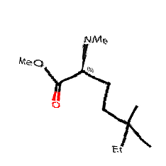 CCC(C)(C)CC[C@H](NC)C(=O)OC